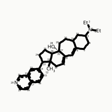 CCN(CC)C1CCC2=CC3=CCC4(C)C(c5ccc6ccncc6c5)CCC4[C@@]3(O)CCC2C1